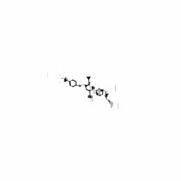 COCCC(=O)N1CCN(c2nc(C3CC3)c(OCc3ccc(C(=O)OC)cc3)cc2C#N)C[C@H]1C